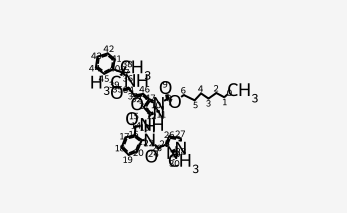 CCCCCCCOC(=O)n1nc(NC(=O)c2ccccc2NC(=O)c2ccnn2C)c2oc(C(=O)NC(C)(C)c3ccccc3)cc21